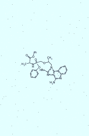 CCCCc1nc2c(N)nc3ccccc3c2n1CC(C)OCP(=O)(NC(C)C(=O)OC(C)C)Oc1ccccc1